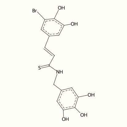 Oc1cc(CNC(=S)/C=C/c2cc(O)c(O)c(Br)c2)cc(O)c1O